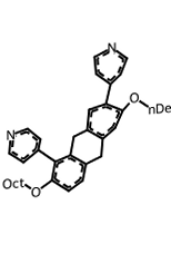 CCCCCCCCCCOc1cc2c(cc1-c1ccncc1)Cc1c(ccc(OCCCCCCCC)c1-c1ccncc1)C2